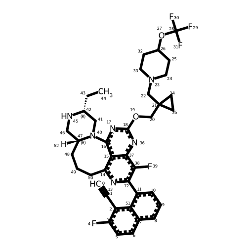 C#Cc1c(F)ccc2cccc(-c3nc4c5c(nc(OCC6(CN7CCC(OC(F)(F)F)CC7)CC6)nc5c3F)N3C[C@@H](CC)NC[C@H]3CCC4)c12